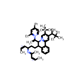 C=C(C1C(CCC(/C=C\C)N=C(C)/C=C\C)c2ccccc2-c2cc(C(C)C(C)(CC)CC)c([Si](C)(C)C)c[n+]21)[n+]1ccc(C(C)C)cc1CC